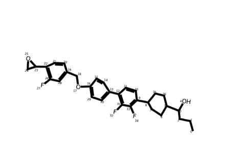 CCCC(O)C1CCC(c2ccc(-c3ccc(OCc4ccc(C5CO5)c(F)c4)cc3)c(F)c2F)CC1